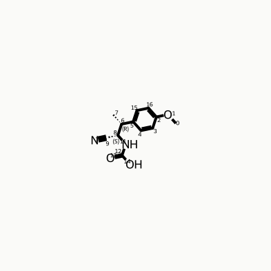 COc1ccc([C@@H](C)[C@@H](C#N)NC(=O)O)cc1